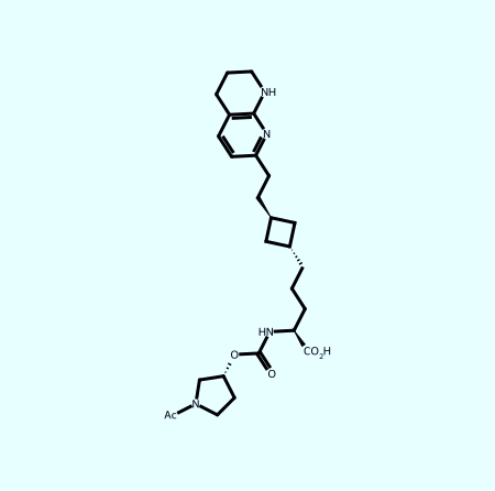 CC(=O)N1CC[C@@H](OC(=O)N[C@@H](CCC[C@H]2C[C@H](CCc3ccc4c(n3)NCCC4)C2)C(=O)O)C1